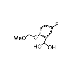 COCOc1ccc(F)cc1C(O)O